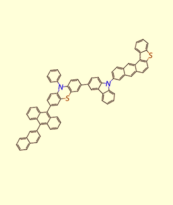 c1ccc(N2c3ccc(-c4ccc5c(c4)c4ccccc4n5-c4ccc5cc6c(ccc7sc8ccccc8c76)cc5c4)cc3Sc3cc(-c4c5ccccc5c(-c5ccc6ccccc6c5)c5ccccc45)ccc32)cc1